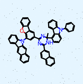 CC1(c2cccc3c2c2ccccc2n3-c2ccccc2)N=C(c2cc(-n3c4ccccc4c4cc5ccccc5cc43)c3oc4ccccc4c3c2)N=C(c2ccc3ccccc3c2)N1